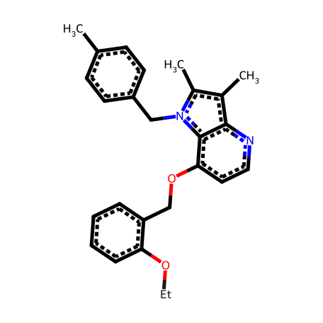 CCOc1ccccc1COc1ccnc2c(C)c(C)n(Cc3ccc(C)cc3)c12